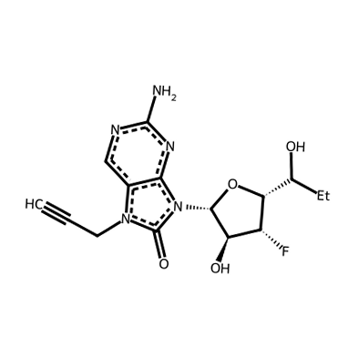 C#CCn1c(=O)n([C@@H]2O[C@H](C(O)CC)[C@H](F)[C@H]2O)c2nc(N)ncc21